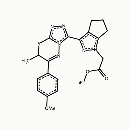 COc1ccc(C2=Nn3c(nnc3-c3nn(CC(=O)OC(C)C)c4c3CCC4)SC2C)cc1